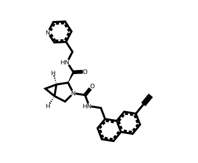 C#Cc1ccc2cccc(CNC(=O)N3C[C@H]4C[C@H]4[C@H]3C(=O)NCc3cccnc3)c2c1